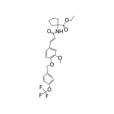 CCOC(=O)C1(NC(=O)/C=C/c2ccc(OCc3ccc(OC(F)(F)F)cc3)c(OC)c2)CCCC1